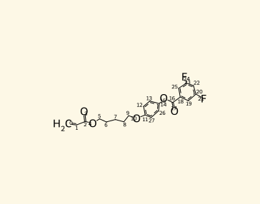 C=CC(=O)OCCCCCOc1ccc(OC(=O)c2cc(F)cc(F)c2)cc1